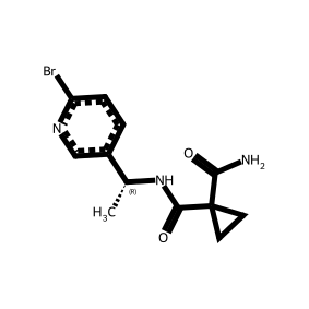 C[C@@H](NC(=O)C1(C(N)=O)CC1)c1ccc(Br)nc1